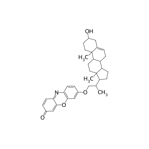 CC(COc1ccc2nc3ccc(=O)cc-3oc2c1)C1CCC2C3CC=C4CC(O)CCC4(C)C3CCC12C